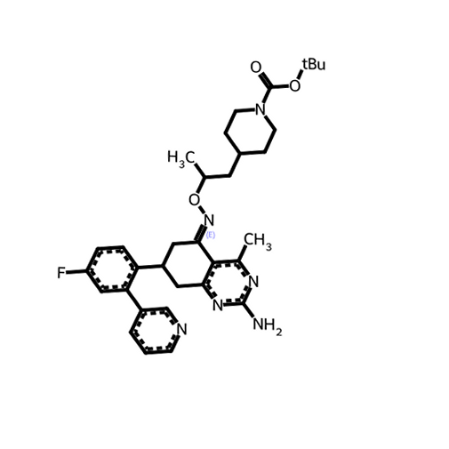 Cc1nc(N)nc2c1/C(=N/OC(C)CC1CCN(C(=O)OC(C)(C)C)CC1)CC(c1ccc(F)cc1-c1cccnc1)C2